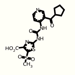 CS(=O)(=O)c1sc(NC(=O)Nc2ccncc2C(=O)C2CCCC2)nc1C(=O)O